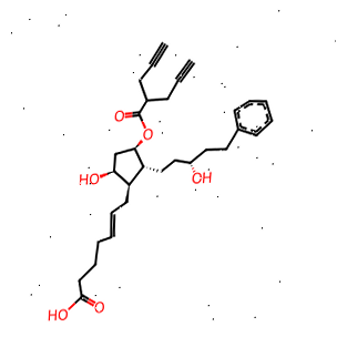 C#CCC(CC#C)C(=O)O[C@@H]1C[C@H](O)[C@H](CC=CCCCC(=O)O)[C@H]1CC[C@@H](O)CCc1ccccc1